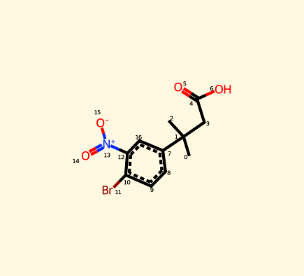 CC(C)(CC(=O)O)c1ccc(Br)c([N+](=O)[O-])c1